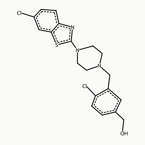 OCc1ccc(Cl)c(CN2CCN(c3nc4ccc(Cl)cc4s3)CC2)c1